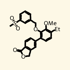 CCc1ccc(-c2ccc3c(c2)COC3=O)c(OCc2cccc(S(C)(=O)=O)c2)c1OC